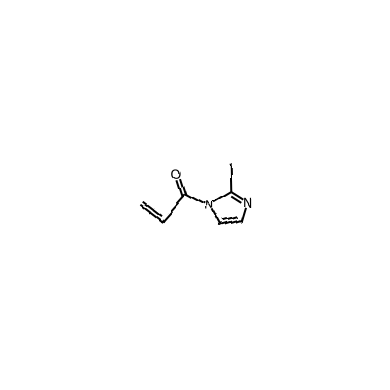 C=CC(=O)n1ccnc1C